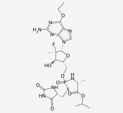 CCOc1nc(N)nc2c1ncn2[C@@H]1O[C@H](COP(=O)(N[C@H](C)C(=O)OC(C)C)SC[C@H]2NC(=O)NC2=O)[C@@H](O)[C@@]1(C)F